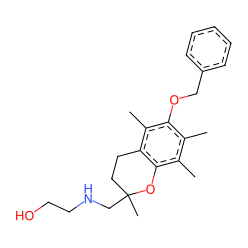 Cc1c(C)c2c(c(C)c1OCc1ccccc1)CCC(C)(CNCCO)O2